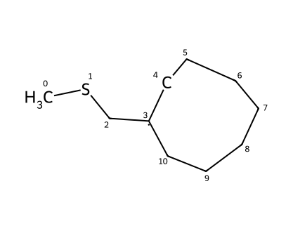 CSC[C]1CCCCCCC1